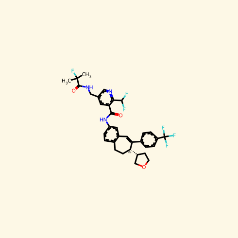 CC(C)(F)C(=O)NCc1cnc(C(F)F)c(C(=O)Nc2ccc3c(c2)C=C(c2ccc(C(F)(F)F)cc2)[C@H](C2CCOC2)CC3)c1